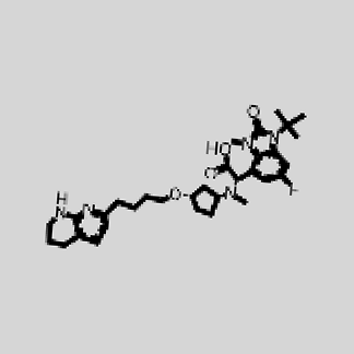 CN([C@H]1CC[C@H](OCCCCc2ccc3c(n2)NCCC3)C1)[C@H](C(=O)O)c1cc(F)cc2c1n(C)c(=O)n2C(C)(C)C